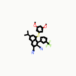 COc1cc(OC)cc(Sc2cc(C(C)C)cc3cc(C#N)c(C#N)c(-c4cccc(C(F)(F)F)c4)c23)c1